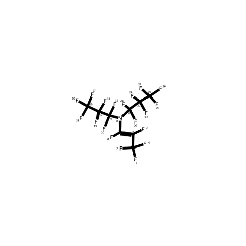 F/C(=C(/F)C(F)(F)F)N(C(F)(F)C(F)(F)C(F)(F)F)C(F)(F)C(F)(F)C(F)(F)F